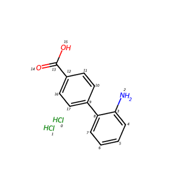 Cl.Cl.Nc1ccccc1-c1ccc(C(=O)O)cc1